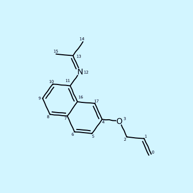 C=CCOc1ccc2cccc(N=C(C)C)c2c1